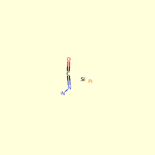 [N]N=C=O.[P].[Si]